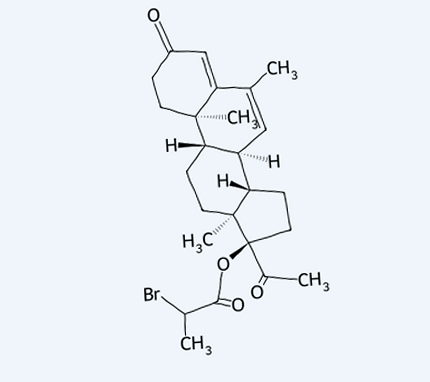 CC(=O)[C@@]1(OC(=O)C(C)Br)CC[C@H]2[C@@H]3C=C(C)C4=CC(=O)CC[C@]4(C)[C@H]3CC[C@@]21C